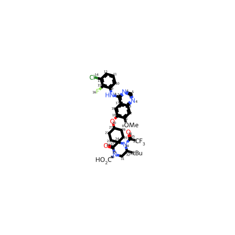 COc1cc2ncnc(Nc3cccc(Cl)c3F)c2cc1OC1CCC2(CC1)C(=O)N(C(=O)O)CC(C(C)(C)C)N2C(=O)C(F)(F)F